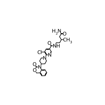 CC(CCNC(=O)c1cnc(N2CCC(N3C(=O)OCc4ccccc43)CC2)c(Cl)c1)CC(N)=O